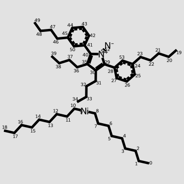 CCCCCCCC[CH2][Ni][CH2]CCCCCCCC.CCCCCc1cccc(C2=C(CCCC)C(CCCC)=C(c3cccc(CCCC)c3)[N+]2=[N-])c1